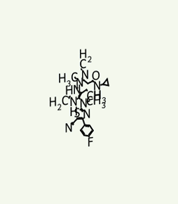 C=C/N=C(/CC(=O)NC1CC1)N(C)N/C(CC)=C(\NC=C)N(C)c1nc(-c2ccc(F)cc2)c(C#N)s1